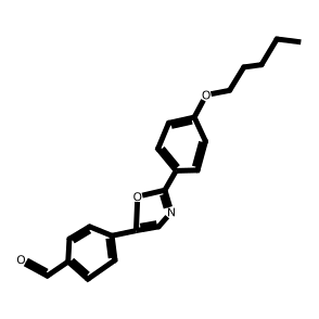 CCCCCOc1ccc(-c2ncc(-c3ccc(C=O)cc3)o2)cc1